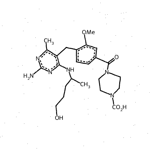 COc1cc(C(=O)N2CCN(C(=O)O)CC2)ccc1Cc1c(C)nc(N)nc1NC(C)CCCO